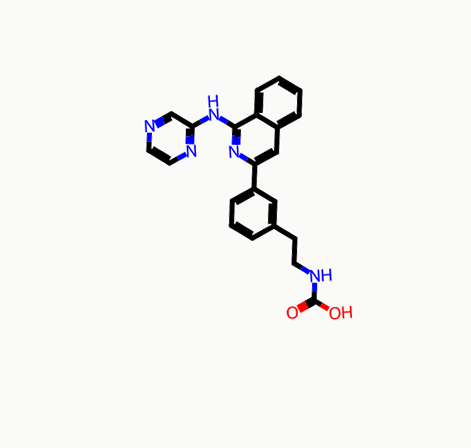 O=C(O)NCCc1cccc(-c2cc3ccccc3c(Nc3cnccn3)n2)c1